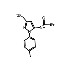 Cc1ccc(-n2nc(C(C)(C)C)cc2NC(=O)C(C)C)cc1